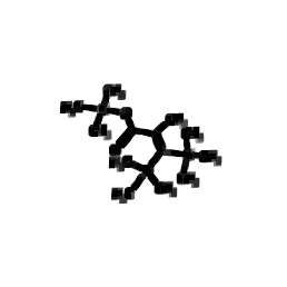 CC(C(=O)O[Si](C)(C)C)=C([Si](C)(C)C)[Si](C)(C)C